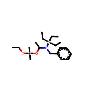 CCO[Si](C)(C)OC(C)N(Cc1ccccc1)[Si](CC)(CC)CC